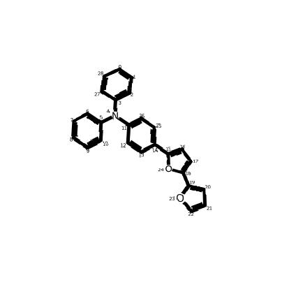 c1ccc(N(c2ccccc2)c2ccc(-c3ccc(-c4ccco4)o3)cc2)cc1